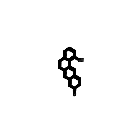 O=C1C=c2cc3ccc4cccc(O)c4c3cc2=CC1